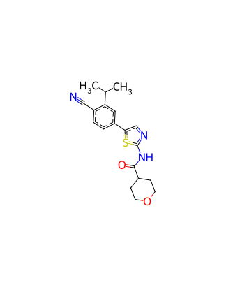 CC(C)c1cc(-c2cnc(NC(=O)C3CCOCC3)s2)ccc1C#N